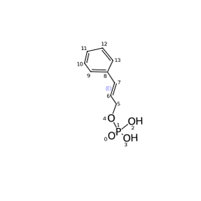 O=P(O)(O)OC/C=C/c1ccccc1